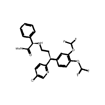 CNC(=O)[C@H](NCC[C@@H](c1ccc(OC(F)F)c(OC(F)F)c1)c1ccc(Cl)cn1)c1ccccc1